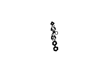 O=C(CN1CCN(c2ccc(-c3ccccc3)cc2)CC1)N1CCN(C2CCC2)CC1